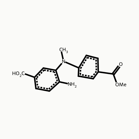 COC(=O)c1ccc(N(C)c2cc(C(=O)O)ccc2N)cc1